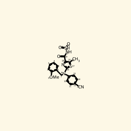 COc1ccccc1CN(c1ccc(C#N)cc1)c1nc(C(=O)N[SH](=O)=O)c(C)s1